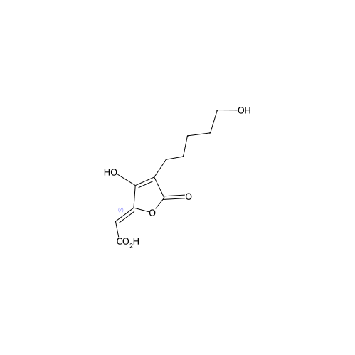 O=C(O)/C=C1\OC(=O)C(CCCCCO)=C1O